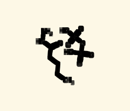 CCCCC(=O)NN.O=S(=O)(O)OS(=O)(=O)O